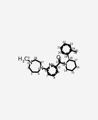 CN1CCCN(c2cccc(C(=O)N3CCCC[C@@H]3c3ccccc3F)n2)CC1